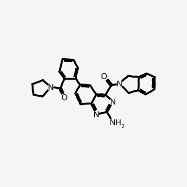 Nc1nc(C(=O)N2Cc3ccccc3C2)c2cc(-c3ccccc3C(=O)N3CCCC3)ccc2n1